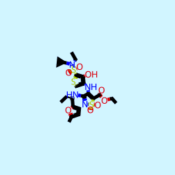 CCOC(=O)C1=C(Nc2csc(S(=O)(=O)N(CC)C3CC3)c2O)C(N[C@H](CC)c2ccc(C)o2)=NS1(=O)=O